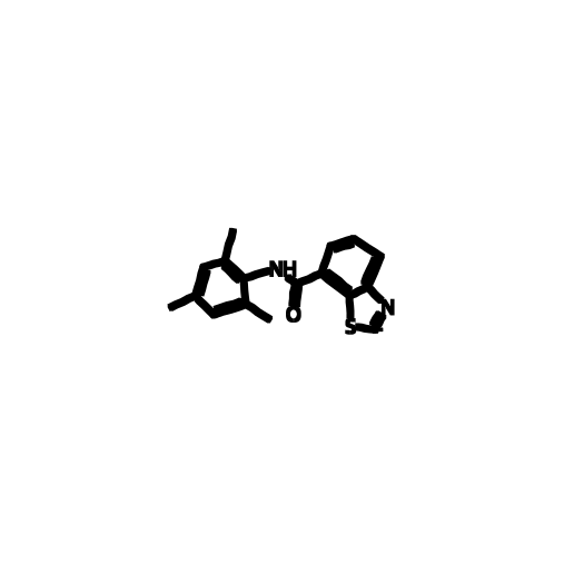 Cc1cc(C)c(NC(=O)c2cccc3n[c]sc23)c(C)c1